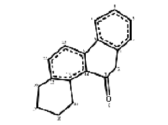 O=C1Cc2ccccc2-c2ccc3c(c21)CCCC3